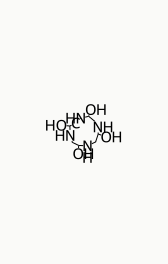 OC1CNC(O)CNC(O)CNC(O)CN1